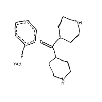 Cl.Fc1ccccc1.O=C(C1CCNCC1)C1CCNCC1